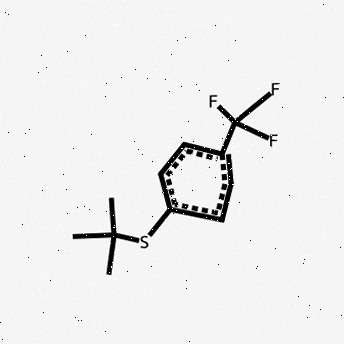 CC(C)(C)Sc1ccc(C(F)(F)F)cc1